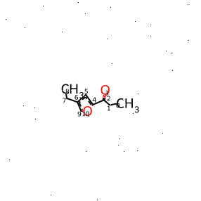 CCC(=O)c1cc(CC)co1